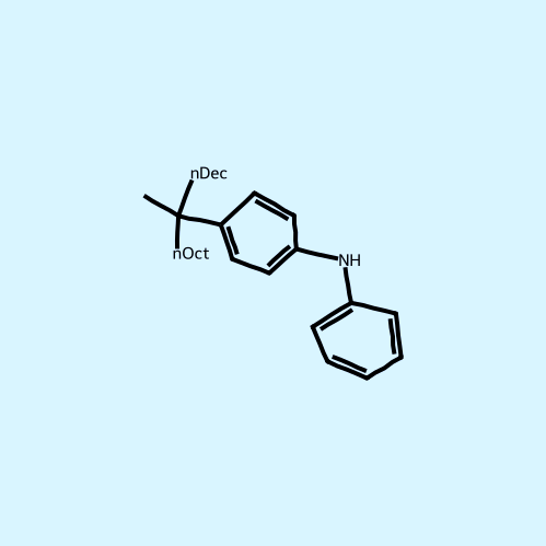 CCCCCCCCCCC(C)(CCCCCCCC)c1ccc(Nc2ccccc2)cc1